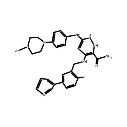 CC(=O)N1CCN(c2ccc(NC3=CC(NCc4cc(-c5cccnc5)ccc4F)=C(C(N)=O)NN3)cc2)CC1